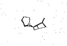 CC1CC2CC(N3CCCC3)C12